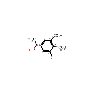 CCOC(=O)CO.Cc1cccc(C(=O)O)c1C(=O)O